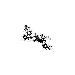 CC(C)(C)OC(=O)N1CC[C@@H](C(=O)N2CC[C@](O)(Cn3cnc(Oc4cccc(C(F)(F)F)c4)c(N)c3=O)C(F)(F)C2)[C@H](c2ccccc2)C1